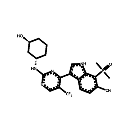 CP(C)(=O)c1c(C#N)ccc2c(-c3nc(N[C@H]4CCC[C@H](O)C4)ncc3C(F)(F)F)c[nH]c12